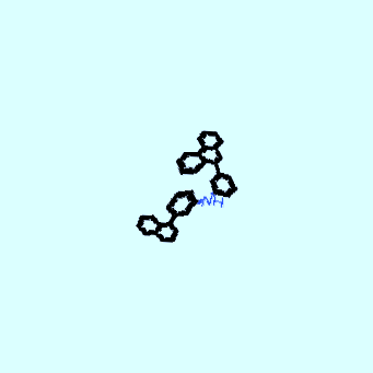 c1cc(Nc2cccc(-c3cc4ccccc4c4ccccc34)c2)cc(-c2cccc3ccccc23)c1